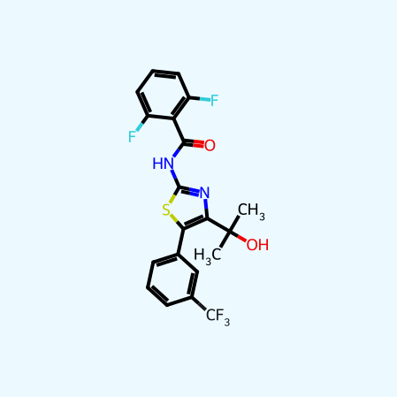 CC(C)(O)c1nc(NC(=O)c2c(F)cccc2F)sc1-c1cccc(C(F)(F)F)c1